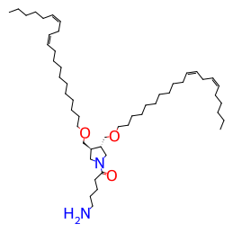 CCCCC/C=C\C/C=C\CCCCCCCCCCOC[C@@H]1CN(C(=O)CCCCN)C[C@H]1COCCCCCCCCCC/C=C\C/C=C\CCCCC